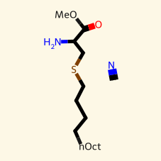 C#N.CCCCCCCCCCCCSCC(N)C(=O)OC